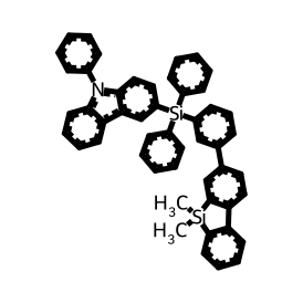 C[Si]1(C)c2ccccc2-c2ccc(-c3cccc([Si](c4ccccc4)(c4ccccc4)c4ccc5c(c4)c4ccccc4n5-c4ccccc4)c3)cc21